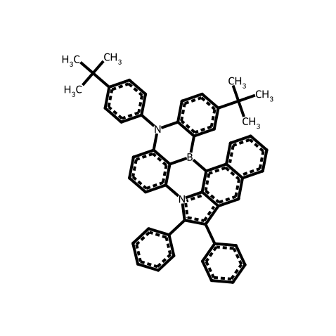 CC(C)(C)c1ccc(N2c3ccc(C(C)(C)C)cc3B3c4c2cccc4-n2c(-c4ccccc4)c(-c4ccccc4)c4cc5ccccc5c3c42)cc1